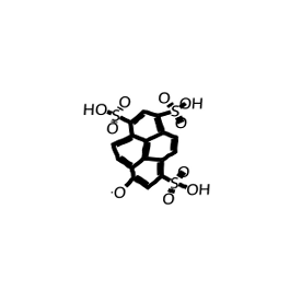 [O]c1cc(S(=O)(=O)O)c2ccc3c(S(=O)(=O)O)cc(S(=O)(=O)O)c4ccc1c2c43